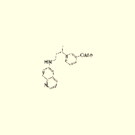 COc1cccc(C(C)CCNc2ccc3ncccc3c2)c1